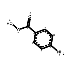 Nc1ccc(C(=O)OO)cc1